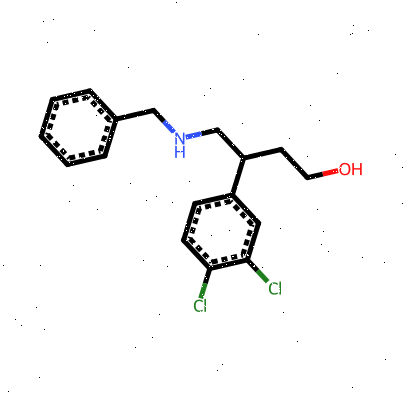 OCCC(CNCc1ccccc1)c1ccc(Cl)c(Cl)c1